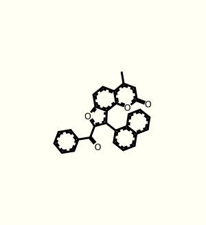 Cc1cc(=O)oc2c1ccc1oc(C(=O)c3ccccc3)c(-c3cccc4ccccc34)c12